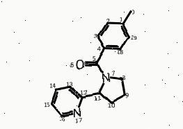 Cc1ccc(C(=O)N2CCCC2c2ccccn2)cc1